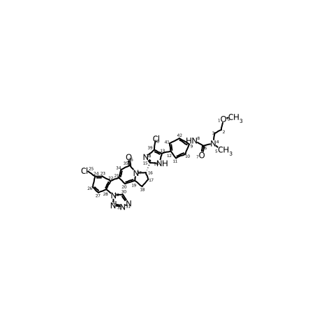 COCCN(C)C(=O)Nc1ccc(-c2[nH]c([C@@H]3CCc4cc(-c5cc(Cl)ccc5-n5cnnn5)cc(=O)n43)nc2Cl)cc1